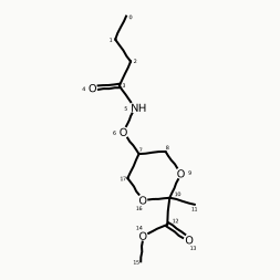 CCCC(=O)NOC1COC(C)(C(=O)OC)OC1